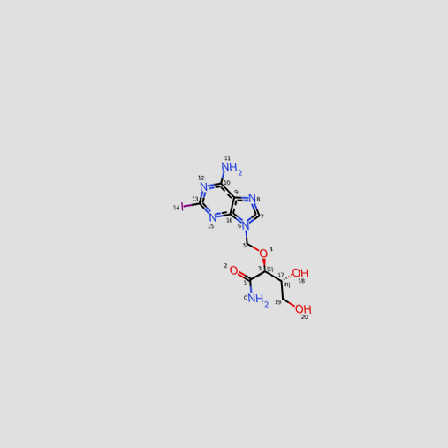 NC(=O)[C@@H](OCn1cnc2c(N)nc(I)nc21)[C@H](O)CO